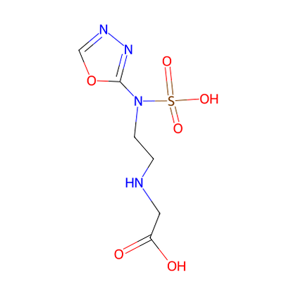 O=C(O)CNCCN(c1nnco1)S(=O)(=O)O